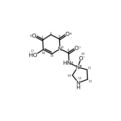 O=C1CC(=O)N(C(=O)N[N+]2([O-])CCNC2)C=C1O